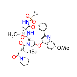 C=C[C@@H]1CC1(NC(=O)[C@@H]1C[C@@H](Oc2cc(-c3ccccc3)nc3cc(OC)ccc23)CN1C(=O)[C@@H](CC(=O)N1CCCCC1)CC(C)(C)C)C(=O)NS(=O)(=O)C1CC1